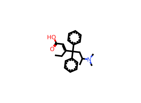 CCC(=CC(=O)O)C(CC(C)N(C)C)(c1ccccc1)c1ccccc1